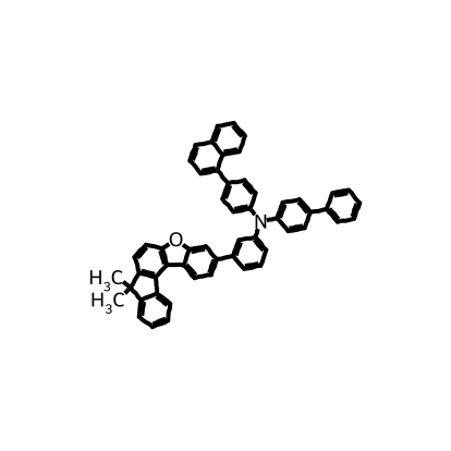 CC1(C)c2ccccc2-c2c1ccc1oc3cc(-c4cccc(N(c5ccc(-c6ccccc6)cc5)c5ccc(-c6cccc7ccccc67)cc5)c4)ccc3c21